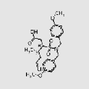 C=CC[C@H](C)[C@@H](CC(=O)O)S(=O)(=O)N(Cc1ccc(OC)cc1)Cc1ccc(OC)cc1